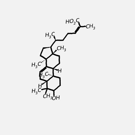 C/C(=C/CC[C@H](C)[C@@H]1CC[C@]2(C)C3=CC[C@H]4C(C)(C)C(O)CC[C@]4(C)[C@H]3CC[C@@]12C)C(=O)O